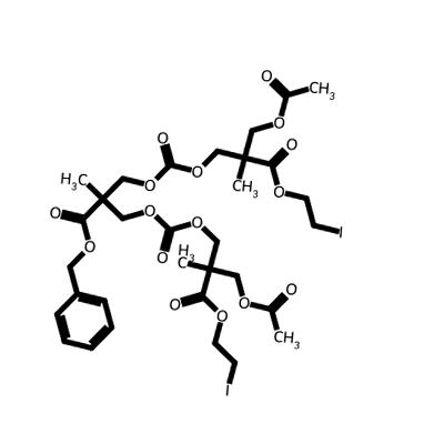 CC(=O)OCC(C)(COC(=O)OCC(C)(COC(=O)OCC(C)(COC(C)=O)C(=O)OCCI)C(=O)OCc1ccccc1)C(=O)OCCI